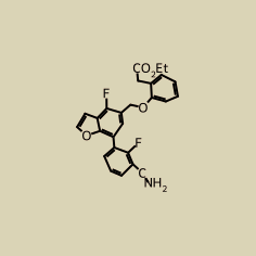 CCOC(=O)Cc1ccccc1OCc1cc(-c2cccc(CN)c2F)c2occc2c1F